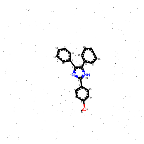 COc1ccc(-c2nc(-c3ccccc3)c(-c3ccccc3)[nH]2)cc1